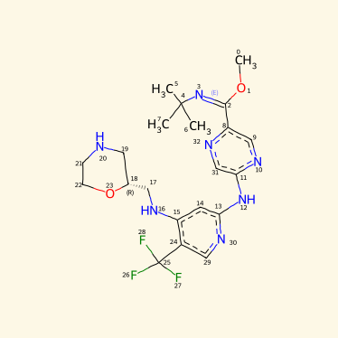 CO/C(=N/C(C)(C)C)c1cnc(Nc2cc(NC[C@H]3CNCCO3)c(C(F)(F)F)cn2)cn1